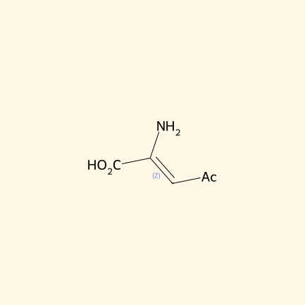 CC(=O)/C=C(\N)C(=O)O